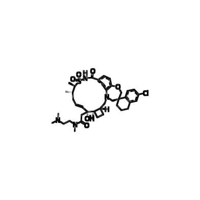 C[C@@H]1[C@@H](C)C/C=C/[C@](O)(CC(=O)N(C)CCN(C)C)[C@@H]2CC[C@H]2CN2C[C@@]3(CCCc4cc(Cl)ccc43)COc3ccc(cc32)C(=O)NS1(=O)=O